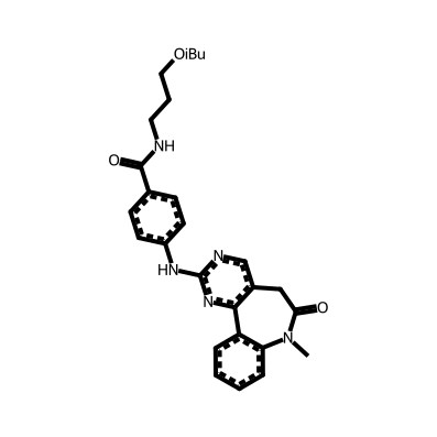 CC(C)COCCCNC(=O)c1ccc(Nc2ncc3c(n2)-c2ccccc2N(C)C(=O)C3)cc1